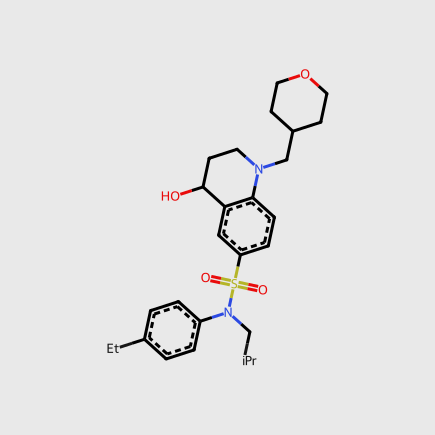 CCc1ccc(N(CC(C)C)S(=O)(=O)c2ccc3c(c2)C(O)CCN3CC2CCOCC2)cc1